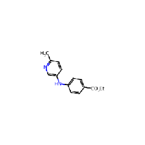 CCOC(=O)c1ccc(Nc2ccc(C)nc2)cc1